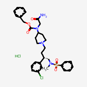 CN(C[C@@H](CCN1CCC(N(CC(N)=O)C(=O)OCc2ccccc2)CC1)c1cccc(Cl)c1)S(=O)(=O)c1ccccc1.Cl